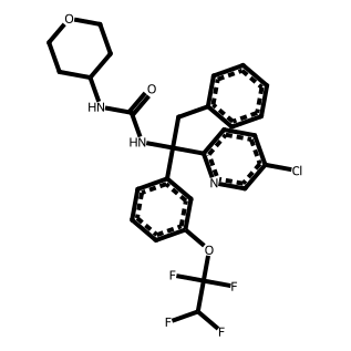 O=C(NC1CCOCC1)NC(Cc1ccccc1)(c1cccc(OC(F)(F)C(F)F)c1)c1ccc(Cl)cn1